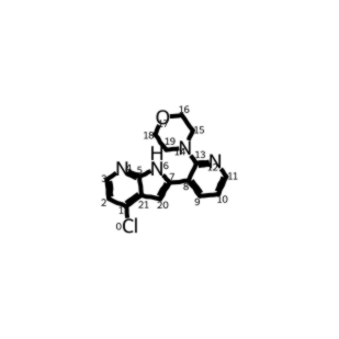 Clc1ccnc2[nH]c(-c3cccnc3N3CCOCC3)cc12